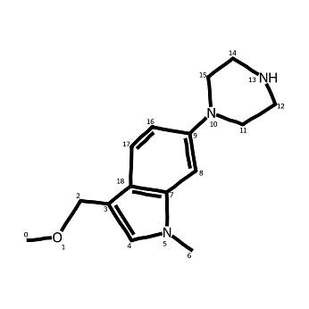 COCc1cn(C)c2cc(N3CCNCC3)ccc12